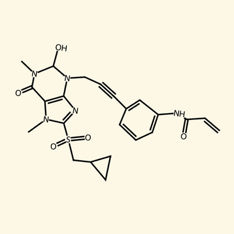 C=CC(=O)Nc1cccc(C#CCN2c3nc(S(=O)(=O)CC4CC4)n(C)c3C(=O)N(C)C2O)c1